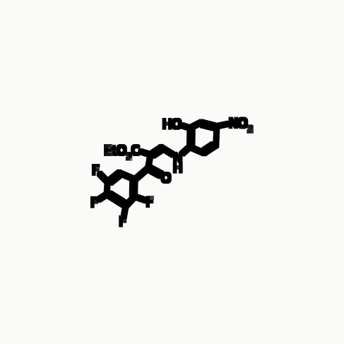 CCOC(=O)C(=CNc1ccc([N+](=O)[O-])cc1O)C(=O)c1cc(F)c(F)c(F)c1F